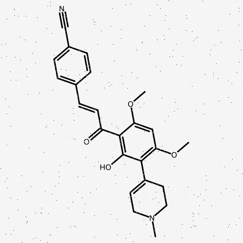 COc1cc(OC)c(C2=CCN(C)CC2)c(O)c1C(=O)/C=C/c1ccc(C#N)cc1